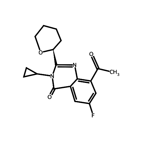 CC(=O)c1cc(F)cc2c(=O)n(C3CC3)c([C@@H]3CCCCO3)nc12